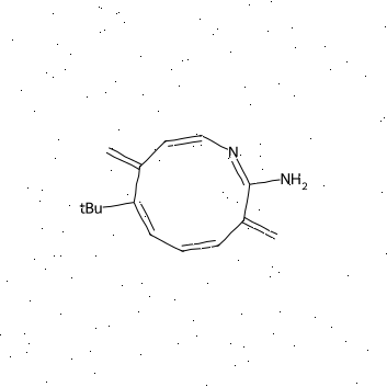 C=c1ccnc(N)c(=C)cccc1C(C)(C)C